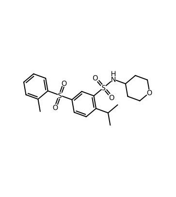 Cc1ccccc1S(=O)(=O)c1ccc(C(C)C)c(S(=O)(=O)NC2CCOCC2)c1